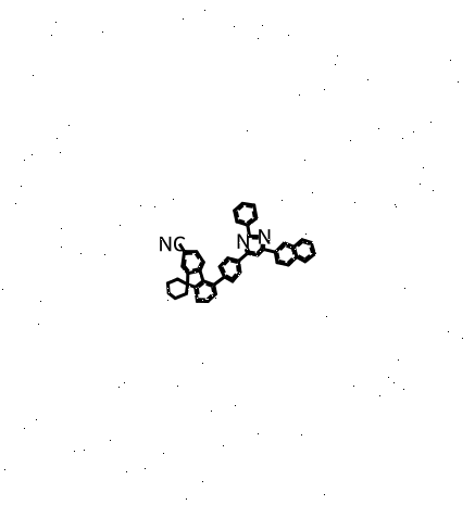 N#Cc1ccc2c(c1)C1(CCCCC1)c1cccc(-c3ccc(-c4cc(-c5ccc6ccccc6c5)nc(-c5ccccc5)n4)cc3)c1-2